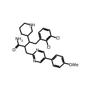 COc1ccc(-c2cnc(CC(C(N)=O)C(Cc3cccc(Cl)c3Cl)C3CCCNC3)nc2)cc1